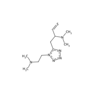 CN(C)CCn1nnnc1CC([C]=S)N(C)C